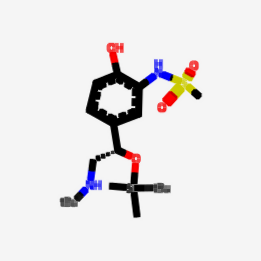 [CH2]C(C)(C)NC[C@@H](O[Si](C)(C)C(C)(C)C)c1ccc(O)c(NS(C)(=O)=O)c1